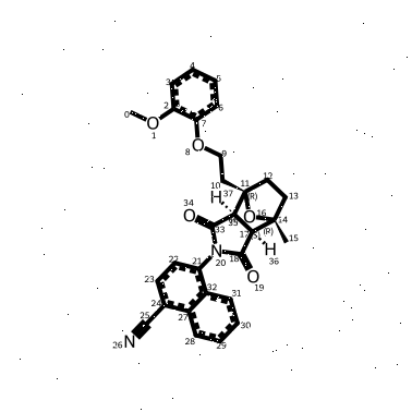 COc1ccccc1OCC[C@@]12CC[C@@](C)(O1)[C@H]1C(=O)N(c3ccc(C#N)c4ccccc34)C(=O)[C@H]12